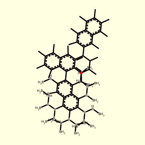 BBB(B)B(B(B)B)c1c(B(B(B)B)B(B)B)c(B(BB)B(B)B)c(B(B)B(B)B)c2c(B(B)BB)c(-c3c4c(c(C)c5c(C)c(C)c(C)c(C)c35)=C(c3c(C)c(C)c5c(C)c(C)c(C)c(C)c5c3C)C(C)C(C)C=4C)c(BB)c(B)c12